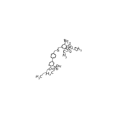 CCCCOc1ccc(-c2ccc(CSCc3ccc(C(F)(F)P(=O)(OCC)OCC)c(Br)c3)cc2)cc1P(=O)(O)OCC